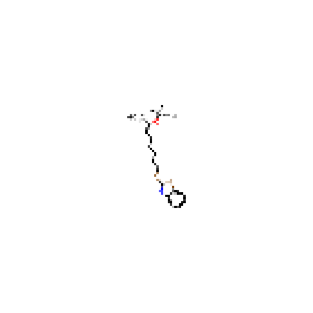 CC(C)(C)[Si](C)(C)OC(=CCCCCCSc1nc2ccccc2s1)C(=O)O